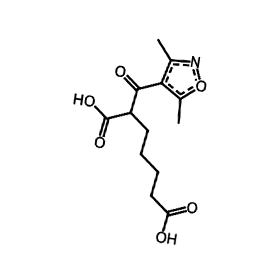 Cc1noc(C)c1C(=O)C(CCCCC(=O)O)C(=O)O